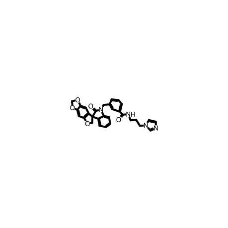 O=C(NCCCn1ccnc1)c1cccc(CN2C(=O)C3(COc4cc5c(cc43)OCO5)c3ccccc32)c1